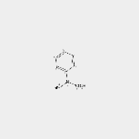 CCCN(C(=O)O)c1cc[c]cc1